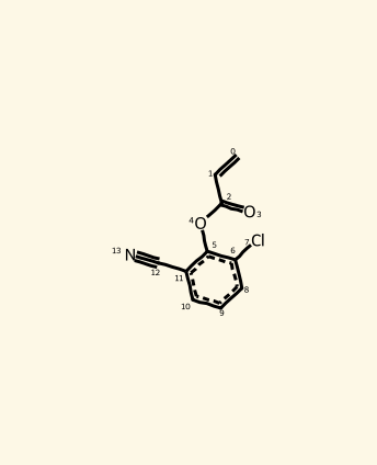 C=CC(=O)Oc1c(Cl)cccc1C#N